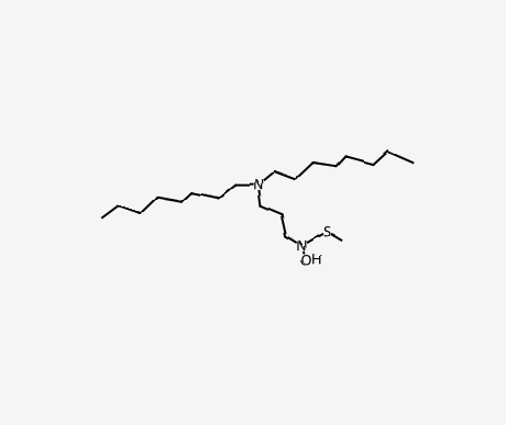 CCCCCCCCN(CCCCCCCC)CCCN(O)SC